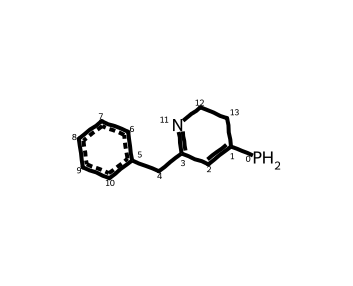 PC1=CC(Cc2ccccc2)=NCC1